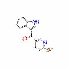 O=C(c1ccc(Br)nc1)c1c[nH]c2ccccc12